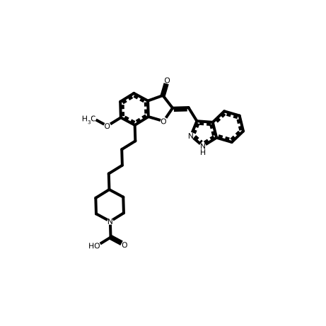 COc1ccc2c(c1CCCCC1CCN(C(=O)O)CC1)OC(=Cc1n[nH]c3ccccc13)C2=O